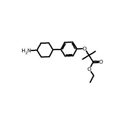 CCOC(=O)C(C)(C)Oc1ccc(C2CCC(N)CC2)cc1